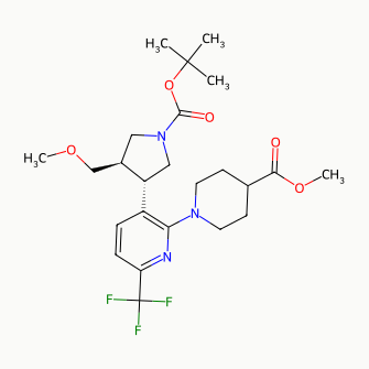 COC[C@H]1CN(C(=O)OC(C)(C)C)C[C@@H]1c1ccc(C(F)(F)F)nc1N1CCC(C(=O)OC)CC1